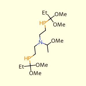 CCC(OC)(OC)PCCN(CCPC(CC)(OC)OC)C(C)OC